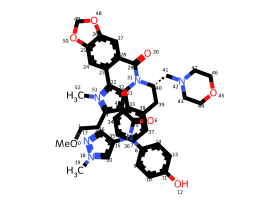 COCCc1c(C(=O)N(c2ccc(O)cc2)c2cnn(C)c2)cc(-c2cc3c(cc2C(=O)N2Cc4ccccc4C[C@H]2CN2CCOCC2)OCO3)n1C